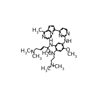 COc1cc(N(C)CCN(C)C)c(NC(=O)/C=C/CN(C)C)cc1Nc1nccc(-c2ccc3c(C)nccn23)n1